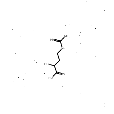 N=C(N)NCCC(O)C(=O)O